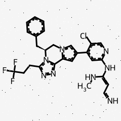 CN/C(=C\C=N)Nc1cc(-c2cc3n(c2)C[C@H](Cc2ccccc2)n2c(CCC(F)(F)F)nnc2-3)c(Cl)cn1